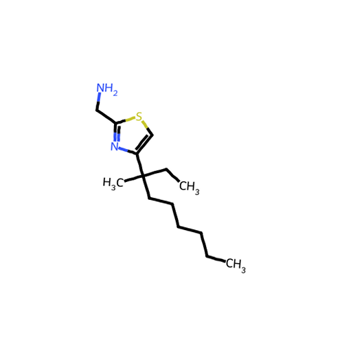 CCCCCCC(C)(CC)c1csc(CN)n1